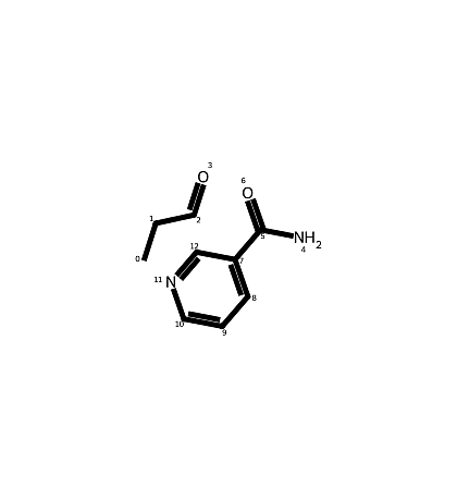 CCC=O.NC(=O)c1cccnc1